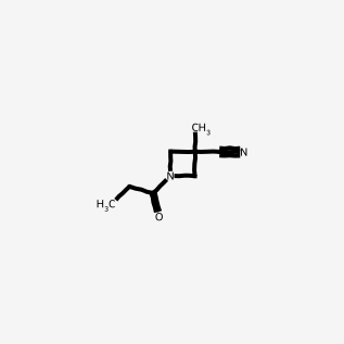 CCC(=O)N1CC(C)(C#N)C1